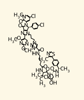 COc1ncc(-c2nc3c(n2CCCn2cc(C(=O)NCCCCC(=O)N[C@H](C(=O)N4C[C@H](O)C[C@H]4C(=O)N[C@@H](C)c4ccc(-c5scnc5C)cc4)C(C)(C)C)nn2)[C@H](c2ccc(Cl)cc2)N(c2cc(Cl)cn(C)c2=O)C3=O)c(OC)n1